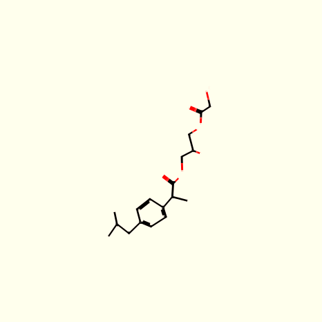 CC(C)Cc1ccc(C(C)C(=O)OCC(O)COC(=O)CO)cc1